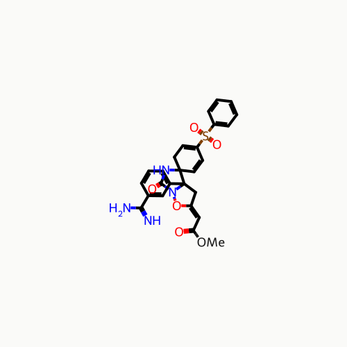 COC(=O)C=C1CC2(c3cccc(C(=N)N)c3)N(O1)C(=O)NC21C=CC(S(=O)(=O)c2ccccc2)=CC1